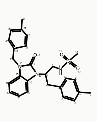 Cc1ccc(CC(CNS(C)(=O)=O)n2c(=O)n(Cc3ccc(C)cc3)c3ccccc32)cc1